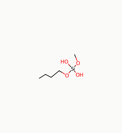 CCCCO[Si](O)(O)OC